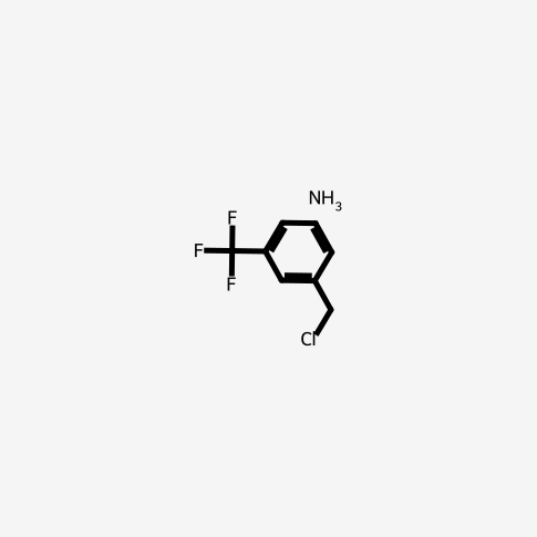 FC(F)(F)c1cccc(CCl)c1.N